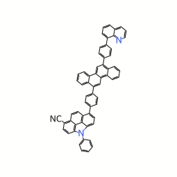 N#Cc1ccc2c3c1ccc1c(-c4ccc(-c5cc6c7ccccc7c(-c7ccc(-c8cccc9cccnc89)cc7)cc6c6ccccc56)cc4)ccc(c13)n2-c1ccccc1